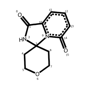 O=C1NC2(CCOCC2)n2c1cccc2=O